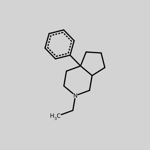 CCN1CCC2(c3ccccc3)CCCC2C1